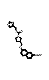 COc1ccc2ccc(OCC3CCN(C(=O)OCc4cscn4)C3)cc2c1